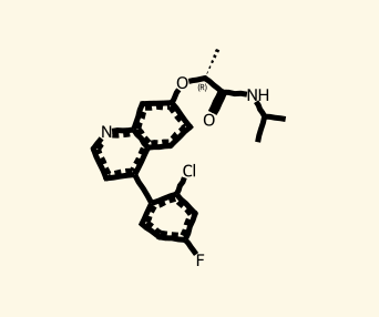 CC(C)NC(=O)[C@@H](C)Oc1ccc2c(-c3ccc(F)cc3Cl)ccnc2c1